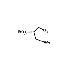 CCOC(=O)C(CNC)CC(F)(F)F